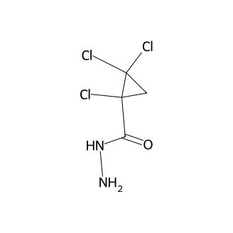 NNC(=O)C1(Cl)CC1(Cl)Cl